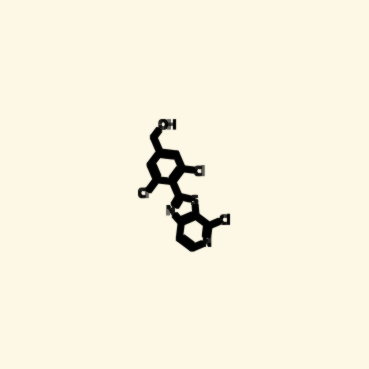 OCc1cc(Cl)c(-c2nc3ccnc(Cl)c3s2)c(Cl)c1